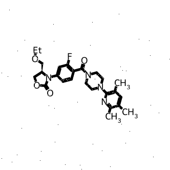 CCOC[C@@H]1COC(=O)N1c1ccc(C(=O)N2CCN(c3nc(C)c(C)cc3C)CC2)c(F)c1